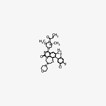 C=CC(=O)N1[C@H](C)CN(c2nc(=O)n3c4c(c(-c5cc(Cl)c(F)cc5F)c(C)cc24)SC[C@H](N2CCOCC2)C3)C[C@@H]1C